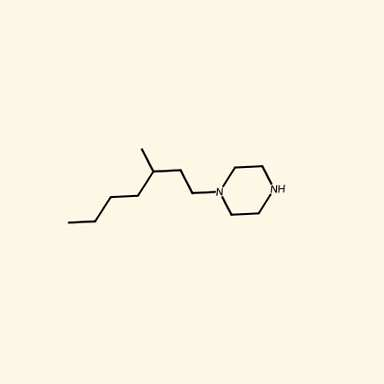 CCCCC(C)CCN1CCNCC1